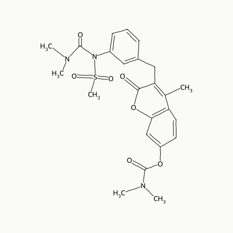 Cc1c(Cc2cccc(N(C(=O)N(C)C)S(C)(=O)=O)c2)c(=O)oc2cc(OC(=O)N(C)C)ccc12